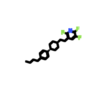 CCCCc1ccc([C@H]2CC[C@H](CCc3cc(F)c(F)nc3F)CC2)cc1